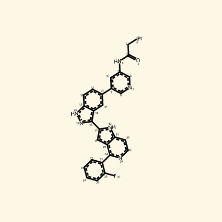 CC(C)CC(=O)Nc1cncc(-c2ccc3[nH]nc(-c4cc5c(-c6ccccc6F)nccc5[nH]4)c3c2)c1